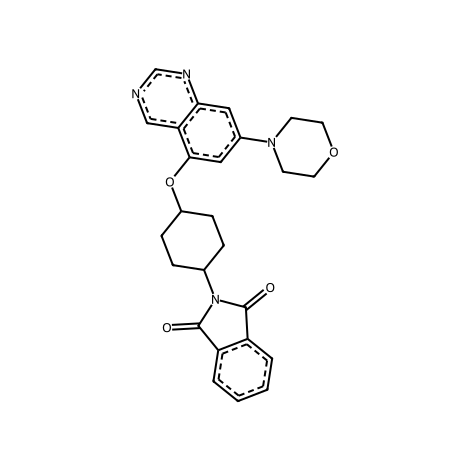 O=C1c2ccccc2C(=O)N1C1CCC(Oc2cc(N3CCOCC3)cc3ncncc23)CC1